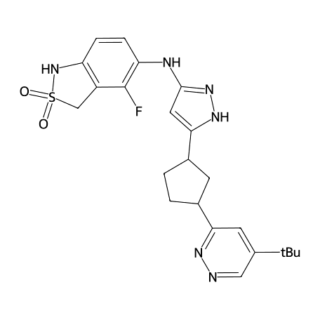 CC(C)(C)c1cnnc(C2CCC(c3cc(Nc4ccc5c(c4F)CS(=O)(=O)N5)n[nH]3)C2)c1